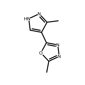 Cc1nnc(-c2c[nH]nc2C)o1